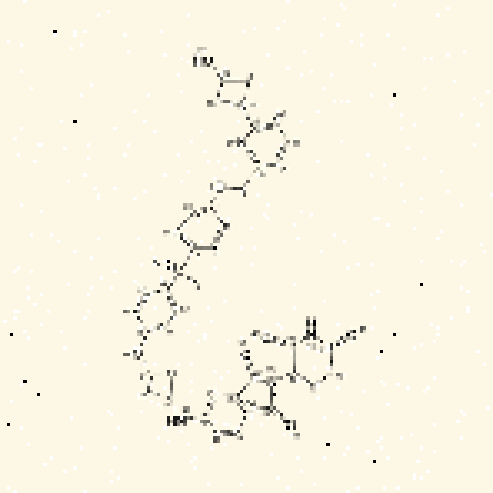 CC(C)(c1ccc(OCc2ccnc(N3CC(O)C3)n2)cc1)c1ccc(O[C@H]2C[C@@H](Nc3ccc4c(c3)C(=O)N(C3CCC(=O)NC3=O)C4=O)C2)cc1